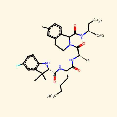 Cc1ccc2c(c1)CCN(C(=O)[C@@H](NC(=O)[C@H](CCCC(=O)O)NC(=O)[C@H]1Nc3ccc(F)cc3C1(C)C)C(C)C)C2C(=O)N[C@H](C=O)CC(=O)O